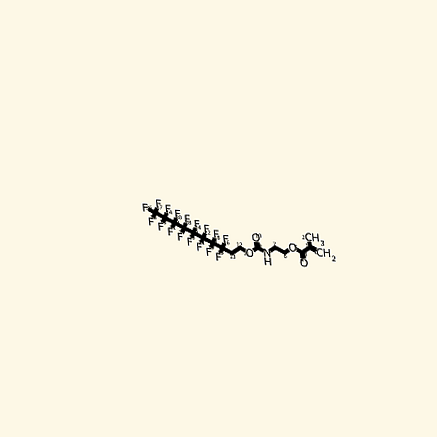 C=C(C)C(=O)OCCNC(=O)OCCC(F)(F)C(F)(F)C(F)(F)C(F)(F)C(F)(F)C(F)(F)C(F)(F)C(F)(F)F